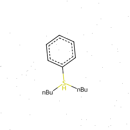 CCCC[SH](CCCC)c1ccccc1